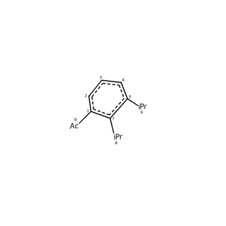 CC(=O)c1cccc(C(C)C)c1C(C)C